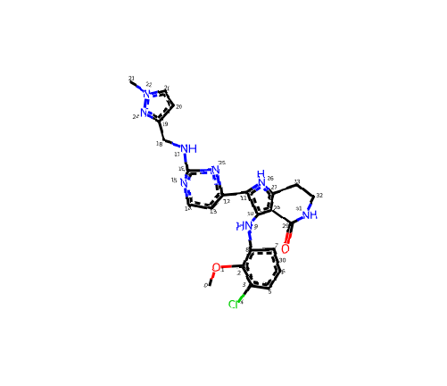 COc1c(Cl)cccc1Nc1c(-c2ccnc(NCc3ccn(C)n3)n2)[nH]c2c1C(=O)NCC2